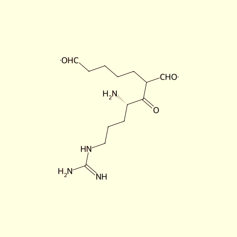 N=C(N)NCCC[C@H](N)C(=O)C([C]=O)CCCC[C]=O